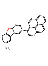 Bc1ccc2c(c1)C1C=C(c3ccc4ccc5cccc6ccc3c4c56)C=CC1O2